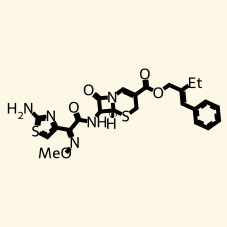 CCC(=Cc1ccccc1)COC(=O)C1=CN2C(=O)C(NC(=O)C(=NOC)c3csc(N)n3)[C@H]2SC1